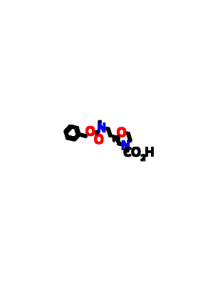 CN(CC[C@@H]1CN(C(=O)O)CCO1)C(=O)OCc1ccccc1